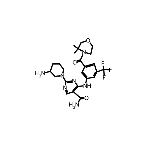 CC1(C)COCCN1C(=O)c1cc(Nc2nc(N3CCCC(N)C3)ncc2C(N)=O)cc(C(F)(F)F)c1